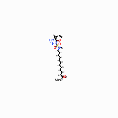 C=C[C@@H]1C[C@@]1(N)C(=O)NS(=O)(=O)N(C)CCCCCCCCCCCC(=O)OC